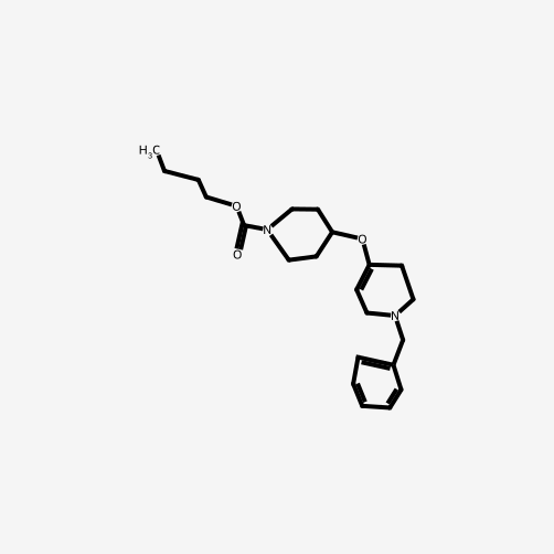 CCCCOC(=O)N1CCC(OC2=CCN(Cc3ccccc3)CC2)CC1